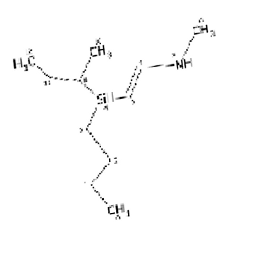 CCCC[SiH](C=CNC)C(C)CC